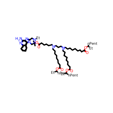 CCCCCC(CC)OC(=O)CCCCCCCCN(CCCCCCCCC(=O)OC(CC)CCCCC)CCCN(CCCCCCCCC(=O)OC(CC)CCCCC)CCCCCC(=O)OC(C)(C)Cn1c(CNCC)nc2c(N)nc3ccccc3c21